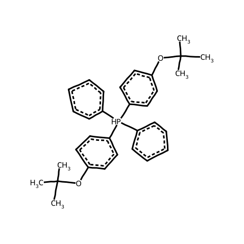 CC(C)(C)Oc1ccc([PH](c2ccccc2)(c2ccccc2)c2ccc(OC(C)(C)C)cc2)cc1